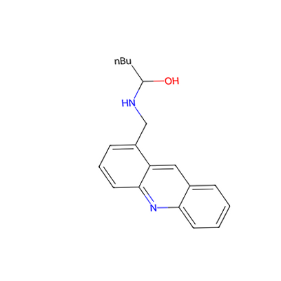 CCCCC(O)NCc1cccc2nc3ccccc3cc12